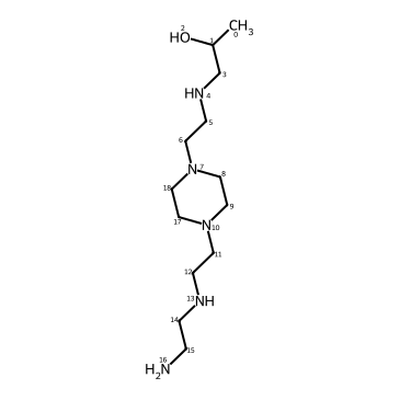 CC(O)CNCCN1CCN(CCNCCN)CC1